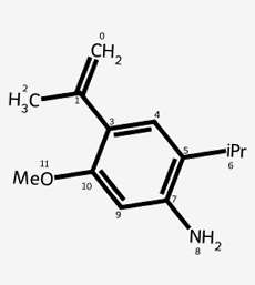 C=C(C)c1cc(C(C)C)c(N)cc1OC